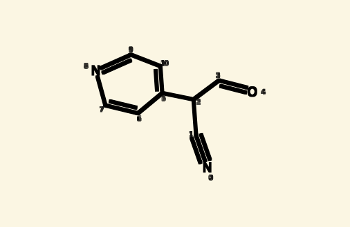 N#CC(C=O)c1ccncc1